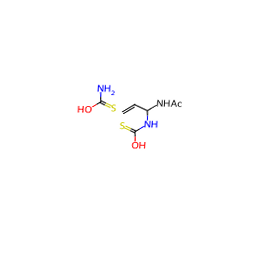 C=CC(NC(C)=O)NC(O)=S.NC(O)=S